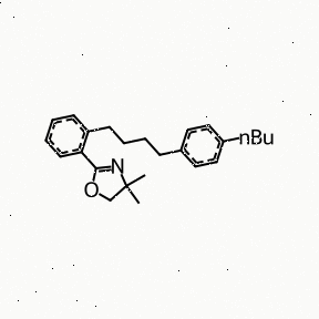 CCCCc1ccc(CCCCc2ccccc2C2=NC(C)(C)CO2)cc1